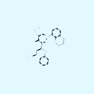 COc1cn(-c2cccc3c2NCCC3)nc(/C(=C/C=N)Nc2ccccc2)c1=O